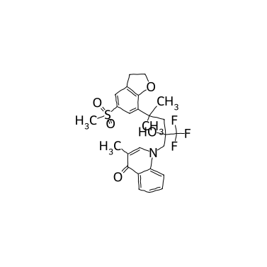 Cc1cn(CC(O)(CC(C)(C)c2cc(S(C)(=O)=O)cc3c2OCC3)C(F)(F)F)c2ccccc2c1=O